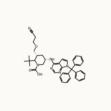 CC(C)(C)C1[C@H](COCCC#N)C[C@H](Nc2ncnc3c2ccn3C(c2ccccc2)(c2ccccc2)c2ccccc2)CN1C(=O)O